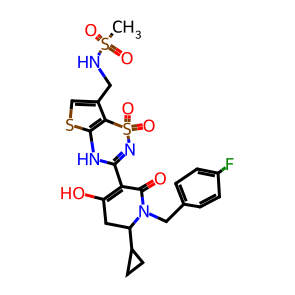 CS(=O)(=O)NCc1csc2c1S(=O)(=O)N=C(C1=C(O)CC(C3CC3)N(Cc3ccc(F)cc3)C1=O)N2